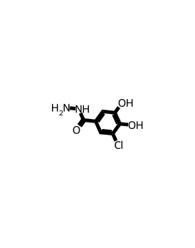 NNC(=O)c1cc(O)c(O)c(Cl)c1